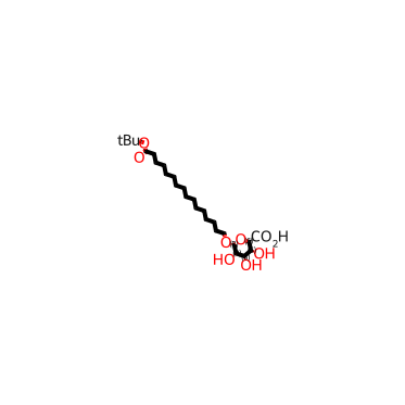 CC(C)(C)OC(=O)CCCCCCCCCCCCCCCO[C@@H]1O[C@H](C(=O)O)[C@@H](O)[C@H](O)[C@H]1O